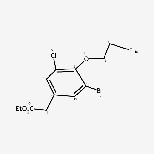 CCOC(=O)Cc1cc(Cl)c(OCCF)c(Br)c1